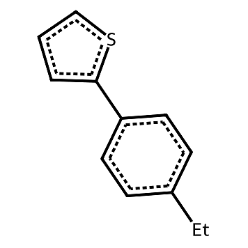 [CH2]Cc1ccc(-c2cccs2)cc1